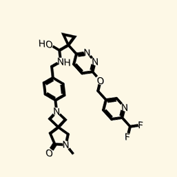 CN1CC2(CC1=O)CN(c1ccc(CNC(O)C3(c4ccc(OCc5ccc(C(F)F)nc5)nn4)CC3)cc1)C2